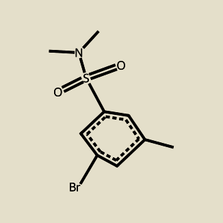 Cc1cc(Br)cc(S(=O)(=O)N(C)C)c1